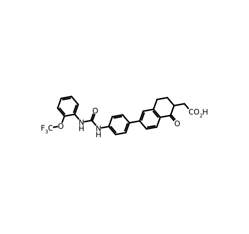 O=C(O)CC1CCc2cc(-c3ccc(NC(=O)Nc4ccccc4OC(F)(F)F)cc3)ccc2C1=O